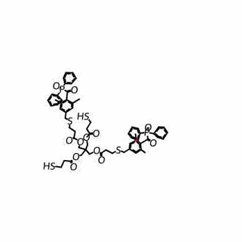 Cc1cc(CSCCC(=O)OCC(COC(=O)CCS)(COC(=O)CCS)COC(=O)CCSCc2cc(C)c(C(=O)P(=O)(c3ccccc3)c3ccccc3)c(C)c2)cc(C)c1C(=O)P(=O)(c1ccccc1)c1ccccc1